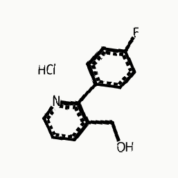 Cl.OCc1cccnc1-c1ccc(F)cc1